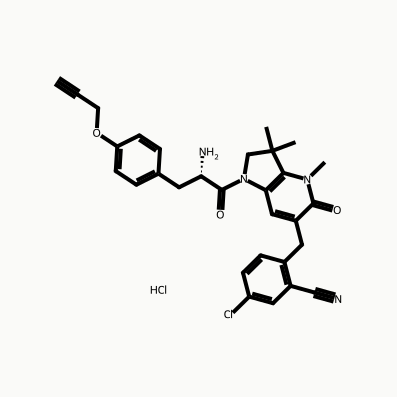 C#CCOc1ccc(C[C@H](N)C(=O)N2CC(C)(C)c3c2cc(Cc2ccc(Cl)cc2C#N)c(=O)n3C)cc1.Cl